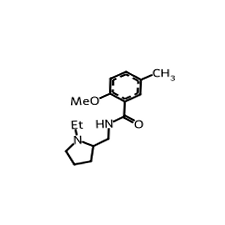 CCN1CCCC1CNC(=O)c1cc(C)ccc1OC